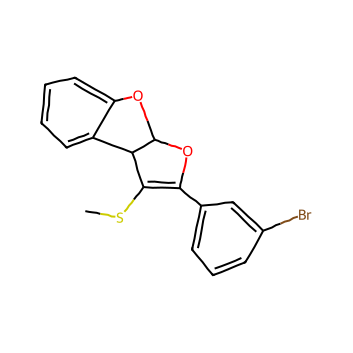 CSC1=C(c2cccc(Br)c2)OC2Oc3ccccc3C12